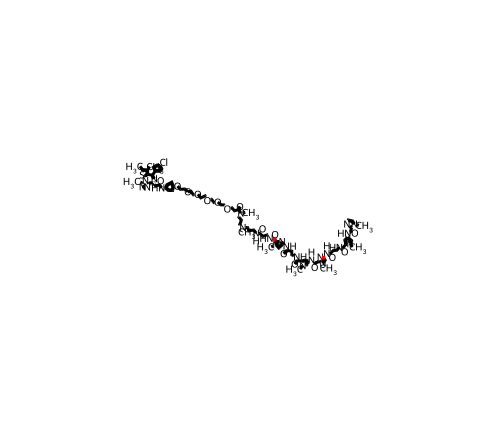 Cc1sc2c(c1C)C(c1ccc(Cl)cc1)=N[C@@H](CC(=O)Nc1ccc(OCCOCCOCCOCCOCCOCCC(=O)N(C)CCCN(C)CCCNC(=O)CCNC(=O)c3nc(NC(=O)CCNC(=O)c4cc(NC(=O)c5nc(NC(=O)CCNC(=O)c6cc(NC(=O)c7nccn7C)cn6C)cn5C)cn4C)cn3C)cc1)c1nnc(C)n1-2